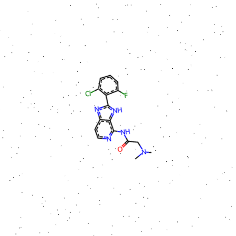 CN(C)CC(=O)Nc1nccc2nc(-c3c(F)cccc3Cl)[nH]c12